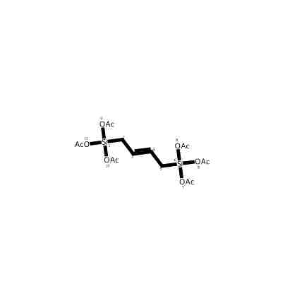 CC(=O)O[Si](CC=CC[Si](OC(C)=O)(OC(C)=O)OC(C)=O)(OC(C)=O)OC(C)=O